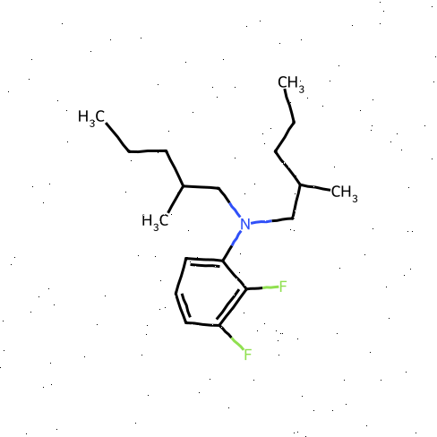 CCCC(C)CN(CC(C)CCC)c1cccc(F)c1F